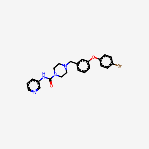 O=C(Nc1cccnc1)N1CCN(Cc2cccc(Oc3ccc(Br)cc3)c2)CC1